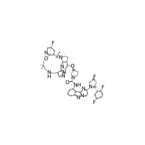 C[C@@H]1c2cc(F)cnc2OCC(C)(C)CNCc2cnn3c(O[C@H]4CCN(C(=O)Nc5cccc6nn7ccc(N8C[C@@H](F)C[C@@H]8c8cc(F)ccc8F)nc7c56)C4)c4c(nc23)N1CC4